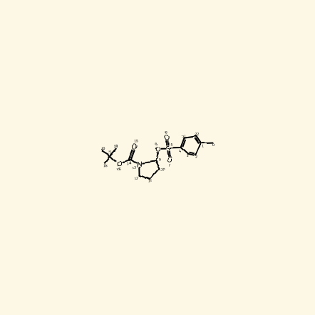 Cc1ccc(S(=O)(=O)O[C@H]2CCCN2C(=O)OC(C)(C)C)cc1